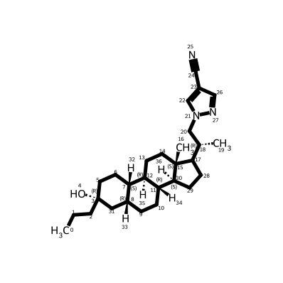 CCC[C@@]1(O)CC[C@H]2[C@H](CC[C@@H]3[C@@H]2CC[C@]2(C)C([C@@H](C)Cn4cc(C#N)cn4)CC[C@@H]32)C1